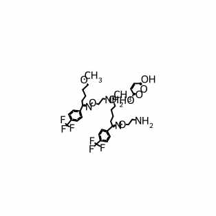 COCCCC/C(=N\OCCN)c1ccc(C(F)(F)F)cc1.COCCCC/C(=N\OCCN)c1ccc(C(F)(F)F)cc1.O=C(O)/C=C\C(=O)O